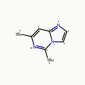 CC(C)(C)c1cc2nccn2c(C(C)(C)C)n1